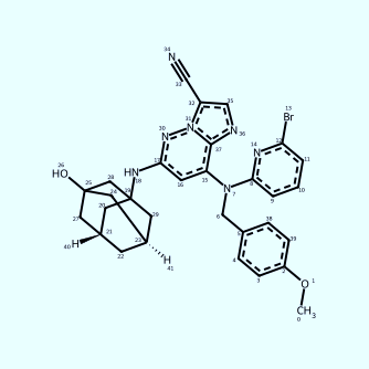 COc1ccc(CN(c2cccc(Br)n2)c2cc(NC34C[C@@H]5C[C@@H](CC(O)(C5)C3)C4)nn3c(C#N)cnc23)cc1